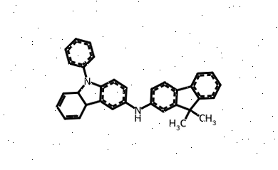 CC1(C)c2ccccc2-c2ccc(Nc3ccc4c(c3)C3C=CC=CC3N4c3ccccc3)cc21